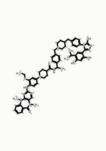 CCOc1cc(N2CCC(C(=O)NC(C)c3ccc(CN4CCC(Cc5ccc(-n6c(O)nnc6-c6cc(C(C)C)c(O)cc6O)cc5)CC4)cc3)CC2)ccc1Nc1ncc2c(n1)N(C)c1ccccc1C(=O)N2C